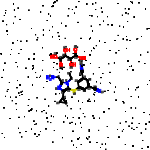 CCn1c(CN)nc(C2CC2)c1Sc1cc(C#N)cc(C#N)c1.O=C(O)C(O)C(O)C(=O)O